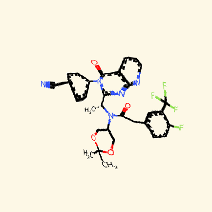 C[C@H](c1nc2ncccc2c(=O)n1-c1ccc(C#N)cc1)N(C(=O)Cc1ccc(F)c(C(F)(F)F)c1)C1COC(C)(C)OC1